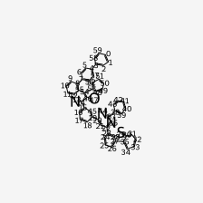 c1ccc(-c2ccc(-c3cccc4nc(-c5cccc(-c6cc(-c7cccc8c7sc7ccccc78)nc(-c7ccccc7)n6)c5)c5oc6ccccc6c5c34)cc2)cc1